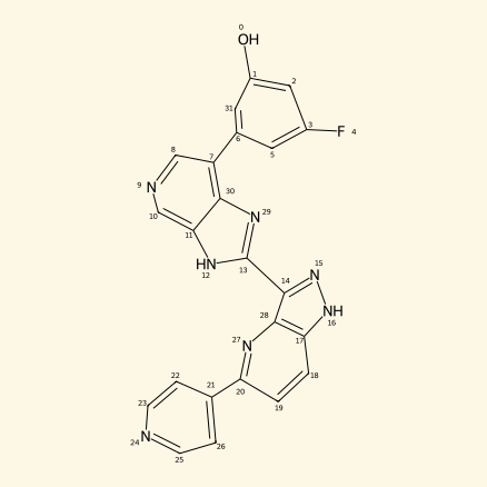 Oc1cc(F)cc(-c2cncc3[nH]c(-c4n[nH]c5ccc(-c6ccncc6)nc45)nc23)c1